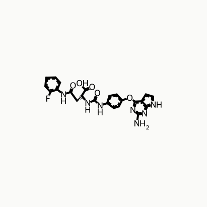 Nc1nc(Oc2ccc(NC(=O)N[C@@H](CC(=O)Nc3ccccc3F)C(=O)O)cc2)c2cc[nH]c2n1